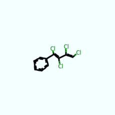 ClC=C(Cl)C(Cl)=C(Cl)c1ccccc1